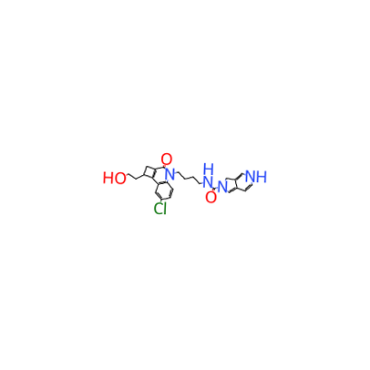 O=C(NCCCCn1c(=O)c2c(c3cc(Cl)ccc31)C(CCO)C2)N1C=C2C=CNC=C2C1